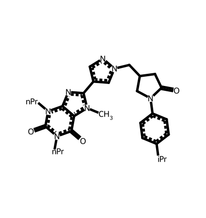 CCCn1c(=O)c2c(nc(-c3cnn(CC4CC(=O)N(c5ccc(C(C)C)cc5)C4)c3)n2C)n(CCC)c1=O